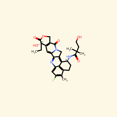 CC[C@@]1(O)C(=O)OCc2c1cc1n(c2=O)Cc2c-1nc1cc(F)c(C)c3c1c2[C@@H](NC(=O)C(C)(C)CCO)CC3